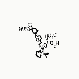 C=C(C)n1c(=O)n(CCN2CCN(c3ccc(Cl)c(OC)c3)CC2)c2ccccc21.O=C(O)/C=C/C(=O)O